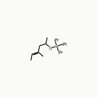 C/C=C(\C)CC(C)O[Si](C(C)C)(C(C)C)C(C)C